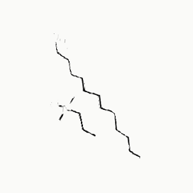 CCCCCCCCCCCCN.CCC[N+](C)(C)[O-]